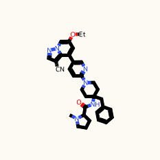 CCOc1cc(-c2ccc(N3CCC(Cc4ccccc4)(NC(=O)C4CCCN4C)CC3)nc2)c2c(C#N)cnn2c1